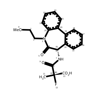 COCCN1C(=O)[C@@H](NC(=O)[C@@](C)(F)C(=O)O)c2ccccc2-c2ccccc21